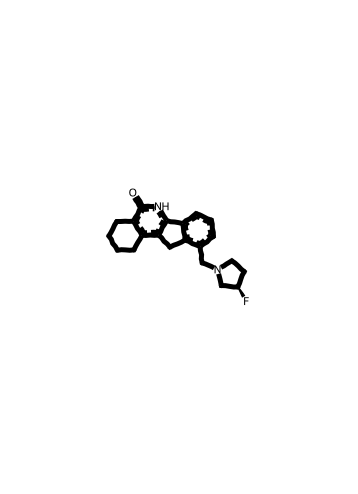 O=c1[nH]c2c(c3c1CCCC3)Cc1c(CN3CC[C@@H](F)C3)cccc1-2